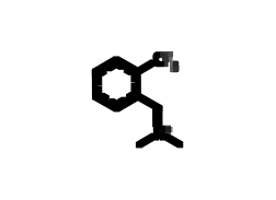 C[N+](C)=Cc1ccccc1C(F)(F)F